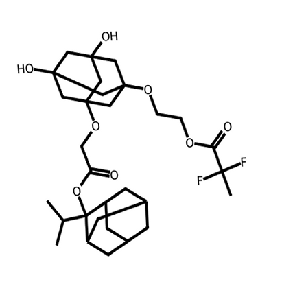 CC(C)C1(OC(=O)COC23CC4(O)CC(O)(CC(OCCOC(=O)C(C)(F)F)(C4)C2)C3)C2CC3CC(C2)CC1C3